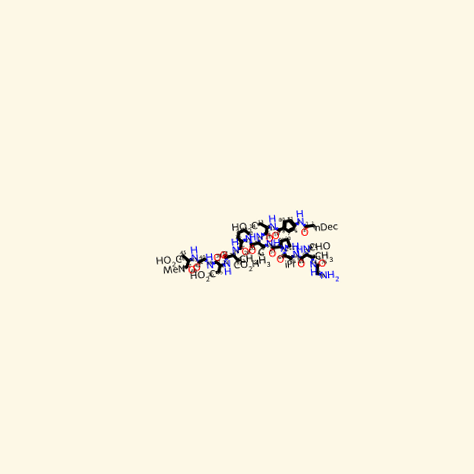 CCCCCCCCCCCC(=O)Nc1ccc(C(=O)NC(CC(=O)O)C(=O)NC(C(=O)N2CCCCC2C(=O)NC(C(=O)NC(CC(=O)O)C(=O)NCC(=O)NC(CC(=O)O)C(=O)NC)C(C)C(=O)O)C(C)NC(=O)C2CCCN2C(=O)C(NC(=O)C(NC=O)C(C)NC(=O)CN)C(C)C)cc1